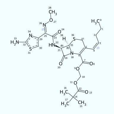 CCC/C=C\C1=C(C(=O)OCOC(=O)C(C)(C)C)N2C(=O)[C@@H](NC(=O)/C(=N\OC)c3csc(N)n3)[C@H]2SC1